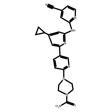 N#Cc1ccnc(Nc2cc(C3CC3)cc(-c3ccc(N4CCN(C(N)=S)CC4)nc3)n2)c1